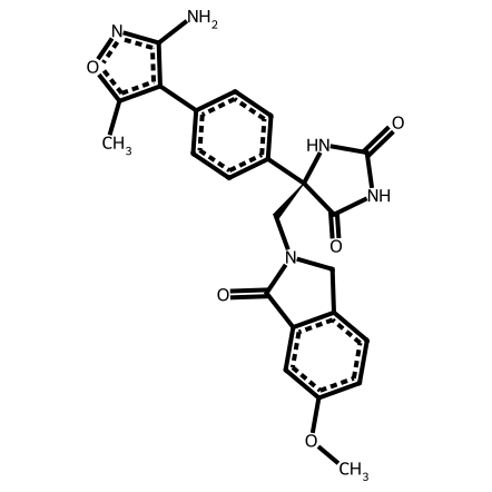 COc1ccc2c(c1)C(=O)N(C[C@@]1(c3ccc(-c4c(N)noc4C)cc3)NC(=O)NC1=O)C2